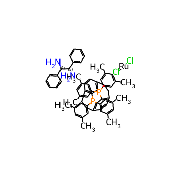 Cc1cc(C)cc(P(c2cc(C)cc(C)c2)c2cc3ccc2CCc2ccc(c(P(c4cc(C)cc(C)c4)c4cc(C)cc(C)c4)c2)CC3)c1.N[C@@H](c1ccccc1)[C@@H](N)c1ccccc1.[Cl][Ru][Cl]